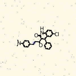 CN(C)c1ccc(/C=C/C(=O)c2c(-c3ccccc3)c3cc(Cl)ccc3[nH]c2=O)cc1